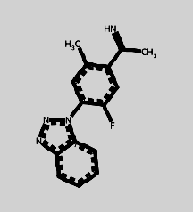 CC(=N)c1cc(F)c(-n2nnc3ccccc32)cc1C